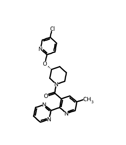 Cc1cnc(-c2ncccn2)c(C(=O)N2CCC[C@@H](Oc3ccc(Cl)cn3)C2)c1